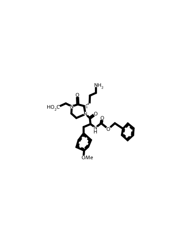 COc1ccc(CC(NC(=O)OCc2ccccc2)C(=O)N2CCN(CC(=O)O)C(=O)[C@@H]2CCCN)cc1